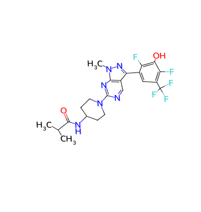 CC(C)C(=O)NC1CCN(c2ncc3c(-c4cc(C(F)(F)F)c(F)c(O)c4F)nn(C)c3n2)CC1